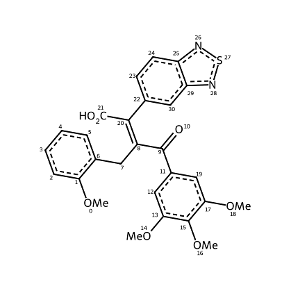 COc1ccccc1CC(C(=O)c1cc(OC)c(OC)c(OC)c1)=C(C(=O)O)c1ccc2nsnc2c1